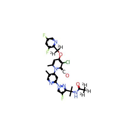 [2H]C([2H])([2H])C(=O)NC(C)(C)c1nn(-c2cc(N3C(=C=O)C(Cl)=C(OC([2H])([2H])c4ncc(F)cc4F)C=C3C)c(C)cn2)cc1F